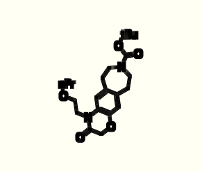 CCCOCCN1C(=O)COc2cc3c(cc21)CCN(C(=O)OC(C)(C)C)CC3